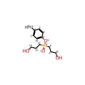 CCCc1ccc(OP(=O)(CCCO)CCCO)cc1